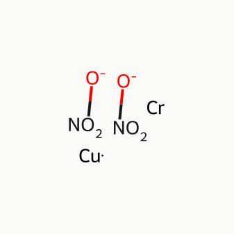 O=[N+]([O-])[O-].O=[N+]([O-])[O-].[Cr].[Cu]